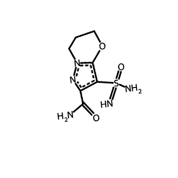 N=S(N)(=O)c1c(C(N)=O)nn2c1OCCC2